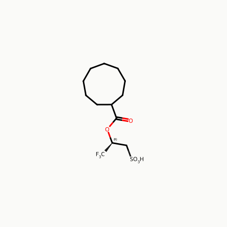 O=C(O[C@@H](CS(=O)(=O)O)C(F)(F)F)C1CCCCCCCC1